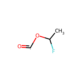 CC(F)O[C]=O